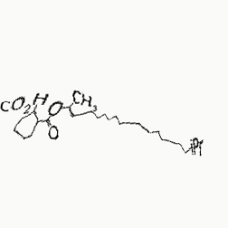 CC(C)CCCCCCCCCCCCCC(C)OC(=O)C1CCCCC1C(=O)O